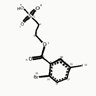 O=C(OCCS(=O)(=O)O)c1cc(I)ccc1Br